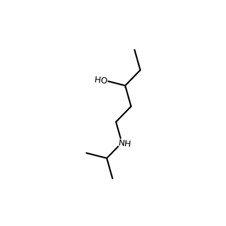 CC[C](O)CCNC(C)C